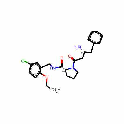 N[C@@H](CC(=O)N1CCC[C@@H]1C(=O)NCc1cc(Cl)ccc1OCC(=O)O)Cc1ccccc1